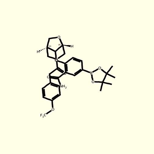 CC1(C)OB(c2ccc(OC3[C@@H]4CO[C@@H]3CN(C(=O)Cc3ccc(OC(F)(F)F)cc3)C4)c(C(N)=O)c2)OC1(C)C